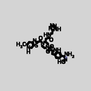 CC1Cc2nc(C(=O)N3CCN(S(=O)(=O)c4cc5ccc(/C(N)=N\O)cc5[nH]4)CC3CC(=O)NCc3nnn[nH]3)sc2CN1